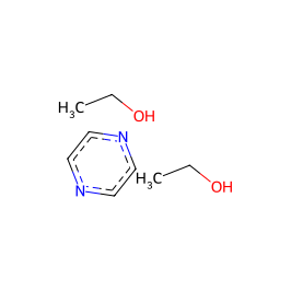 CCO.CCO.c1cnccn1